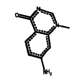 Cn1cnc(=O)c2ccc(N)cc21